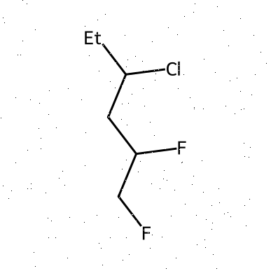 [CH2]CC(Cl)CC(F)CF